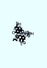 C=C(CC)n1cc(C(c2cccc3c(=O)n(C)ccc23)N(C(=O)OCOP(=O)(O)O)c2cc(Cl)c3ncc(C#N)c(NCC(C)(C)C)c3c2)nn1